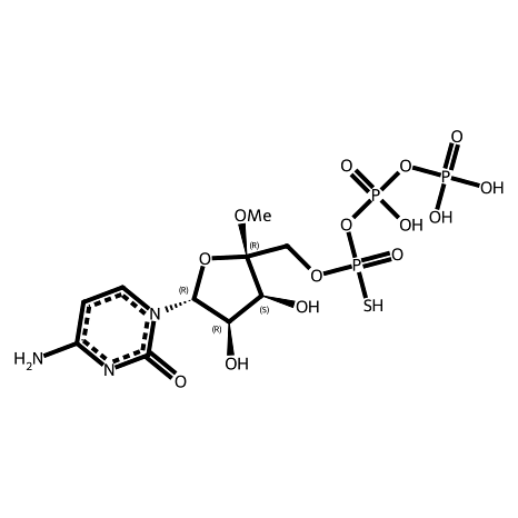 CO[C@]1(COP(=O)(S)OP(=O)(O)OP(=O)(O)O)O[C@@H](n2ccc(N)nc2=O)[C@H](O)[C@@H]1O